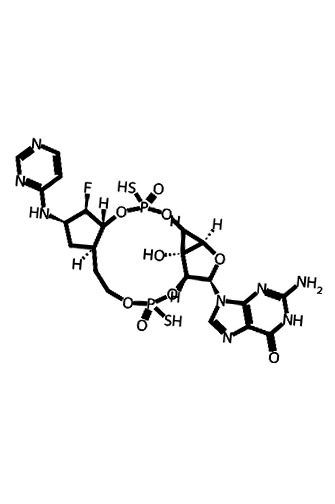 Nc1nc2c(ncn2[C@@H]2O[C@@H]3[C@@H]4OP(=O)(S)O[C@@H]5[C@@H](CCOP(=O)(S)O[C@@H]2[C@]34O)C[C@@H](Nc2ccncn2)[C@H]5F)c(=O)[nH]1